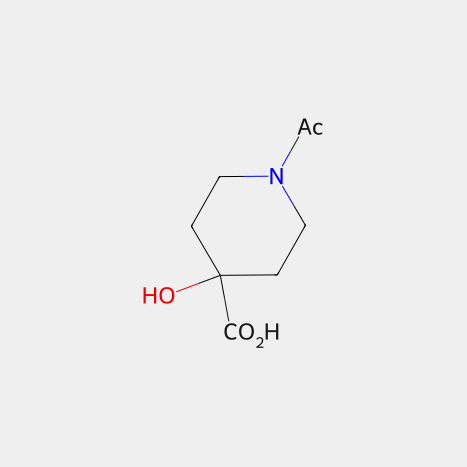 CC(=O)N1CCC(O)(C(=O)O)CC1